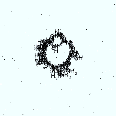 CCCC[C@H]1C(=O)N(C)[C@@H](CCCC)C(=O)N[C@@H](CCCNC(N)N)C(=O)N[C@H](C(=O)NCC(N)=O)CSCC(=O)N[C@@H](Cc2ccc(O)cc2)C(=O)N(C)[C@@H](C)C(=O)N[C@H]2CCCNC(=O)CC[C@H](NC(=O)[C@H](C)NC(=O)[C@@H]3CCCN3C2=O)C(=O)N2C[C@H](O)C[C@H]2C(=O)N[C@@H](Cc2c[nH]c3ccccc23)C(=O)N[C@@H](CO)C(=O)N[C@@H](Cc2c[nH]c3ccccc23)C(=O)N1C